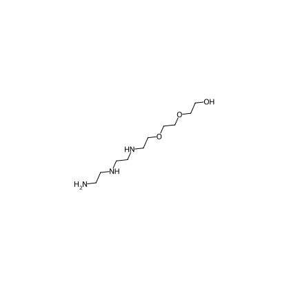 NCCNCCNCCOCCOCCO